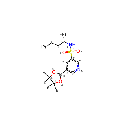 CC[C@@H](CCC(C)C)NS(=O)(=O)c1cncc(B2OC(C)(C)C(C)(C)O2)c1